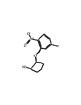 O=[N+]([O-])c1ccc(F)cc1OC1CCCC1O